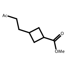 COC(=O)C1CC(CCC(C)=O)C1